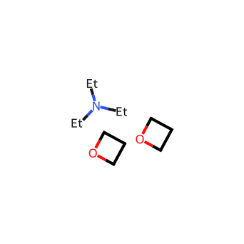 C1COC1.C1COC1.CCN(CC)CC